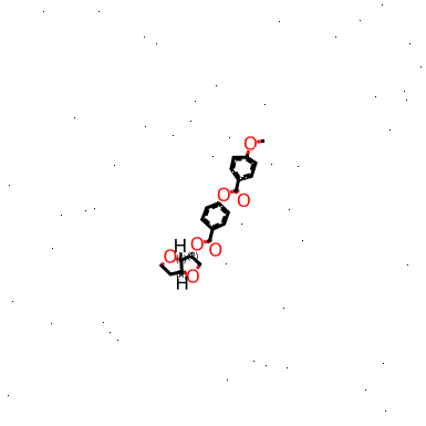 COc1ccc(C(=O)Oc2ccc(C(=O)O[C@@H]3CO[C@@H]4CCO[C@@H]43)cc2)cc1